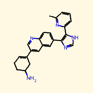 Cc1cccc(-c2[nH]cnc2-c2ccc3ncc(C4=CCCC(N)C4)cc3c2)n1